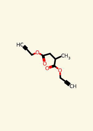 C#CCOC(=O)CC(C)C(=O)OCC#C